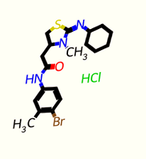 Cc1cc(NC(=O)CC2CSC(=NC3CCCCC3)N2C)ccc1Br.Cl